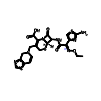 CCO/N=C(/C(=O)NC1C(=O)N2C(C(=O)O)=C(CN3C=Cc4scnc4C3)CS[C@H]12)c1csc(N)n1